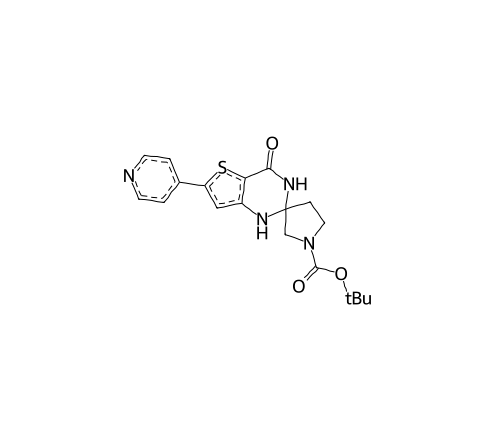 CC(C)(C)OC(=O)N1CCC2(C1)NC(=O)c1sc(-c3ccncc3)cc1N2